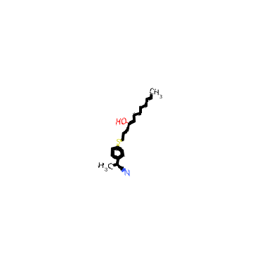 CCCCCCCC[C@@H](O)CCCSc1ccc(C(C)C#N)cc1